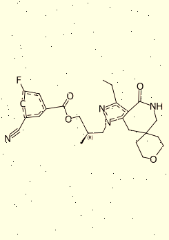 CCc1nn(C[C@@H](C)COC(=O)c2cc(F)cc(C#N)c2)c2c1C(=O)NCC1(CCOCC1)C2